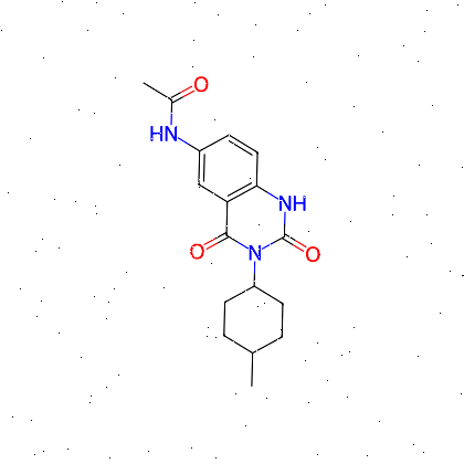 CC(=O)Nc1ccc2[nH]c(=O)n(C3CCC(C)CC3)c(=O)c2c1